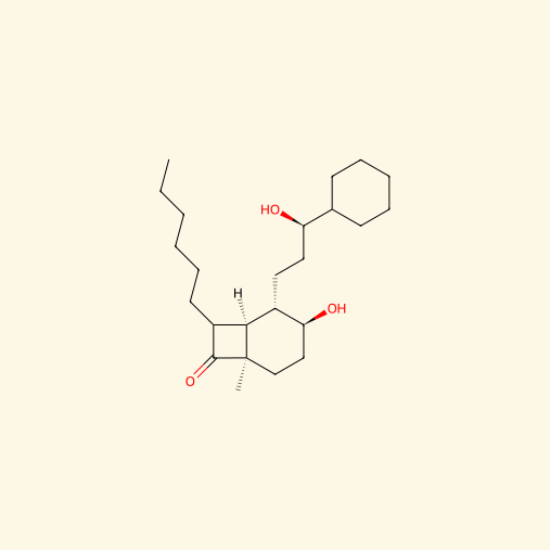 CCCCCCC1C(=O)[C@]2(C)CC[C@H](O)[C@@H](CC[C@@H](O)C3CCCCC3)[C@H]12